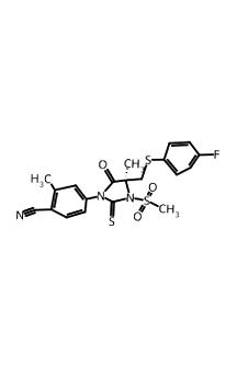 Cc1cc(N2C(=O)[C@@](C)(CSc3ccc(F)cc3)N(S(C)(=O)=O)C2=S)ccc1C#N